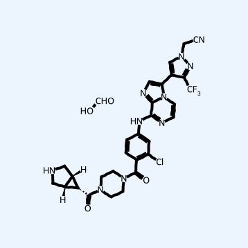 N#CCn1cc(-c2cnc3c(Nc4ccc(C(=O)N5CCN(C(=O)[C@@H]6[C@@H]7CNC[C@@H]76)CC5)c(Cl)c4)nccn23)c(C(F)(F)F)n1.O=CO